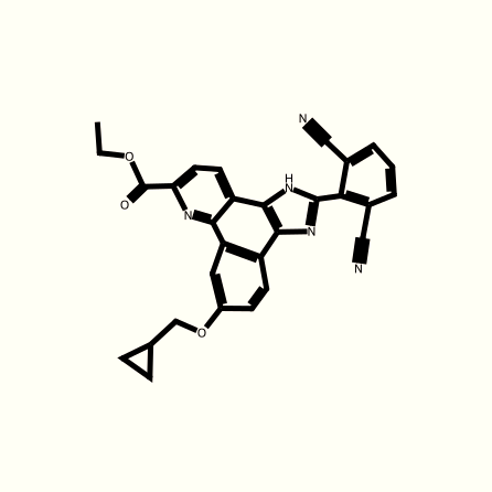 CCOC(=O)c1ccc2c(n1)c1cc(OCC3CC3)ccc1c1nc(-c3c(C#N)cccc3C#N)[nH]c21